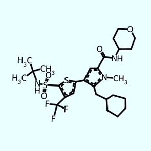 Cn1c(C(=O)NC2CCOCC2)cc(-c2cc(C(F)(F)F)c(S(=O)(=O)NC(C)(C)C)s2)c1CC1CCCCC1